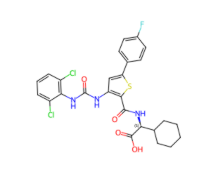 O=C(Nc1cc(-c2ccc(F)cc2)sc1C(=O)N[C@H](C(=O)O)C1CCCCC1)Nc1c(Cl)cccc1Cl